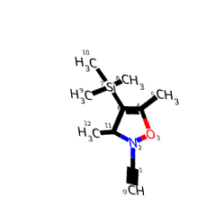 C#CN1OC(C)=C([Si](C)(C)C)C1C